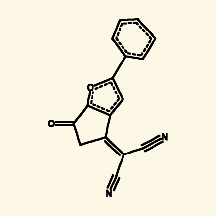 N#CC(C#N)=C1CC(=O)c2oc(-c3ccccc3)cc21